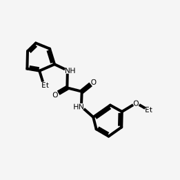 CCOc1cccc(NC(=O)C(=O)Nc2ccccc2CC)c1